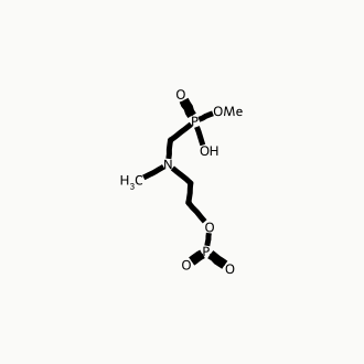 COP(=O)(O)CN(C)CCOP(=O)=O